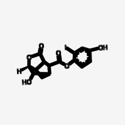 O=C(Oc1ccc(O)cc1I)C1C2CC3C1C(=O)O[C@H]3C2O